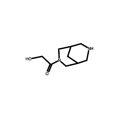 O=C(CO)N1CC2CNCC(C2)C1